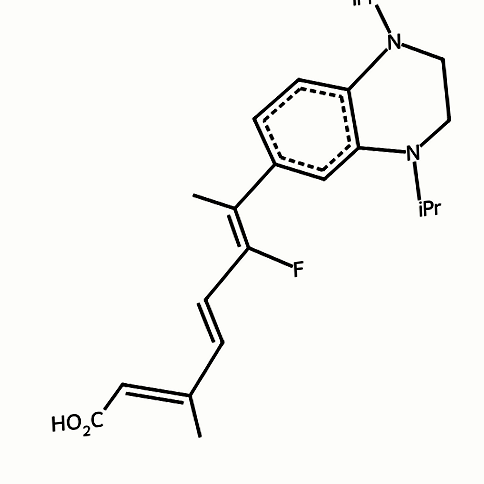 CC(C=CC(F)=C(C)c1ccc2c(c1)N(C(C)C)CCN2C(C)C)=CC(=O)O